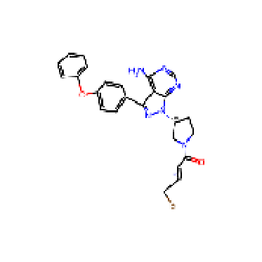 Nc1ncnc2c1c(-c1ccc(Oc3ccccc3)cc1)nn2[C@@H]1CCN(C(=O)/C=C/CBr)C1